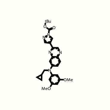 COc1cc(OC)cc(N(CC2CC2)c2ccc3ncc(-c4cnn(C(=O)OC(C)(C)C)c4)nc3c2)c1